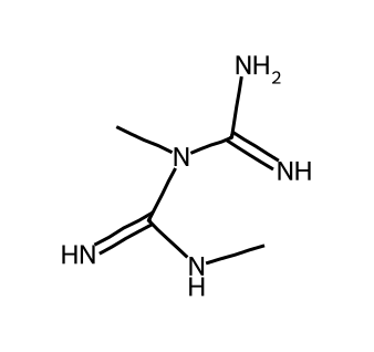 CNC(=N)N(C)C(=N)N